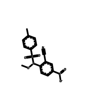 CON(c1ccc([N+](=O)[O-])cc1C#N)S(=O)(=O)c1ccc(C)cc1